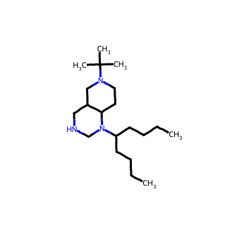 CCCCC(CCCC)N1CNCC2CN(C(C)(C)C)CCC21